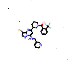 O=C(c1ccccc1C(F)(F)F)N1CCCC(c2cc(NCc3cccnc3)n3ncc(Br)c3n2)C1